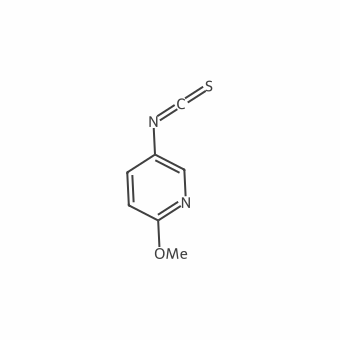 COc1ccc(N=C=S)cn1